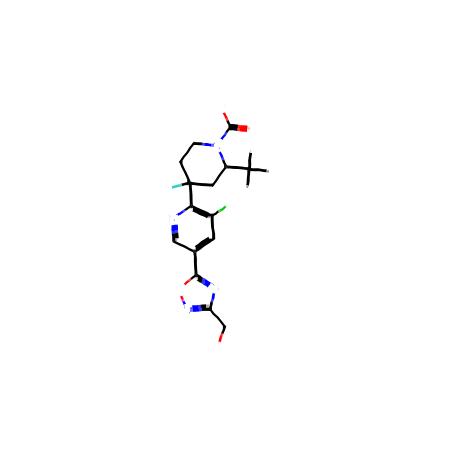 CC(C)(C)C1CC(F)(c2ncc(-c3nc(CO)no3)cc2Cl)CCN1C(=O)O